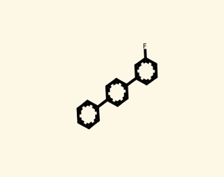 Fc1cccc(-c2ccc(-c3ccccc3)cc2)c1